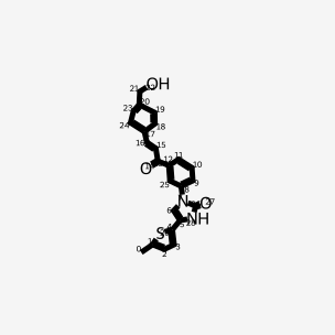 Cc1ccc(-c2cn(-c3cccc(C(=O)/C=C/c4ccc(CO)cc4)c3)c(=O)[nH]2)s1